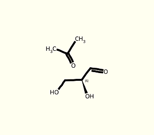 CC(C)=O.O=C[C@@H](O)CO